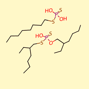 CCCCC(CC)COP(O)(=S)SCC(CC)CCCC.CCCCCCCCSP(O)(O)=S